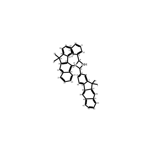 CC1(C)c2cc(C3NC(c4ccccc4)N3c3c4c(cc5ccccc35)C(C)(C)c3ccccc3-4)ccc2-c2cc3ccccc3cc21